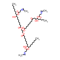 CCCCCCCCC(OC(=O)CCN1CC1C)C(O)CCCCCCCC(=O)OCC(COC(=O)CCCCCCCC(O)C(CCCCCCCC)OC(=O)CCN1CC1C)OC(=O)CCCCCCCC1OC1CC(O)C(CCCCC)OC(=O)CCN1CC1C